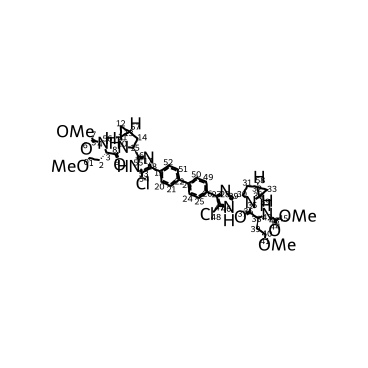 COCC[C@H](NC(=O)OC)C(=O)N1[C@@H]2C[C@@H]2C[C@H]1c1nc(-c2ccc(-c3ccc(-c4nc([C@@H]5C[C@H]6C[C@H]6N5C(=O)[C@H](CCOC)NC(=O)OC)[nH]c4Cl)cc3)cc2)c(Cl)[nH]1